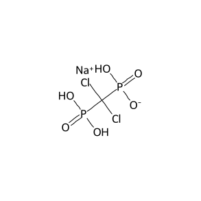 O=P([O-])(O)C(Cl)(Cl)P(=O)(O)O.[Na+]